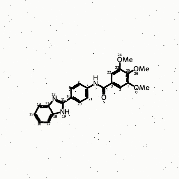 COc1cc(C(=O)Nc2ccc(-c3nc4ccccc4[nH]3)cc2)cc(OC)c1OC